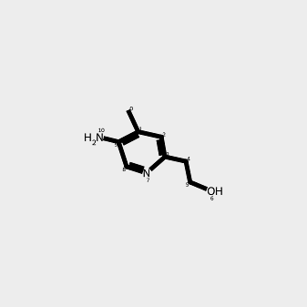 Cc1cc(CCO)ncc1N